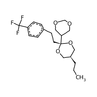 CCC[C@H]1CO[C@](CCc2ccc(C(F)(F)F)cc2)(C2COCOC2)OC1